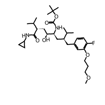 COCCCOc1cc(C[C@@H](C[C@H](NC(=O)OC(C)(C)C)[C@@H](O)C[C@H](C(=O)NC2CC2)C(C)C)C(C)C)ccc1F